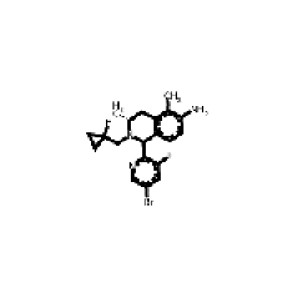 Cc1c(N)ccc2c1C[C@@H](C)N(CC1(F)CC1)C2c1ncc(Br)cc1F